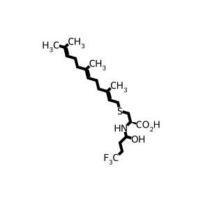 CC(C)=CCC/C(C)=C/CC/C(C)=C/CSC[C@H](NC(O)CCC(F)(F)F)C(=O)O